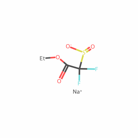 CCOC(=O)C(F)(F)S(=O)[O-].[Na+]